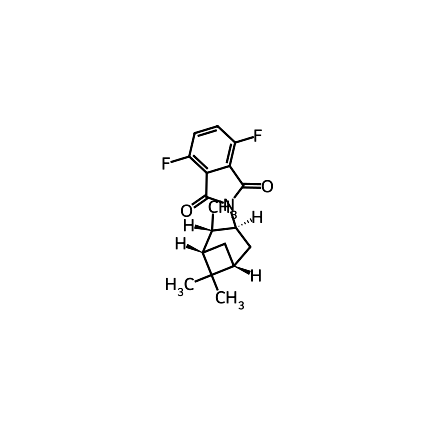 C[C@@H]1[C@@H](N2C(=O)c3c(F)ccc(F)c3C2=O)C[C@H]2C[C@@H]1C2(C)C